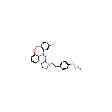 COc1ccc(CCN2CCCC2CN2c3cc(F)ccc3COc3ccccc32)cc1